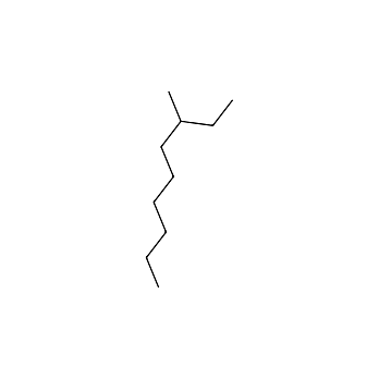 CCCCCCC(C)CC